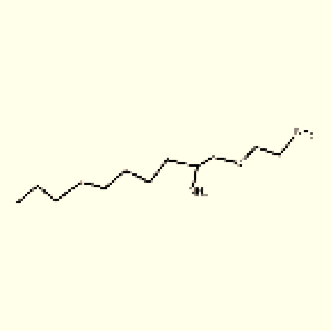 CCCCCCCCC(N)COCCN